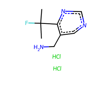 CC(C)(F)c1ncncc1CN.Cl.Cl